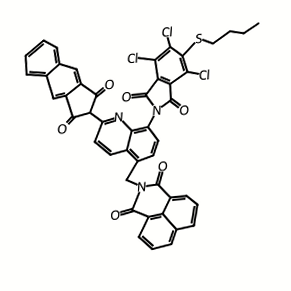 CCCCSc1c(Cl)c(Cl)c2c(c1Cl)C(=O)N(c1ccc(CN3C(=O)c4cccc5cccc(c45)C3=O)c3ccc(C4C(=O)c5cc6ccccc6cc5C4=O)nc13)C2=O